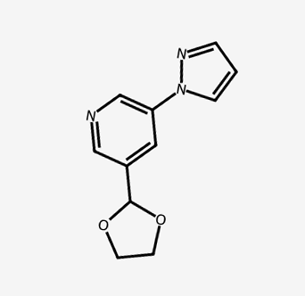 c1cnn(-c2cncc(C3OCCO3)c2)c1